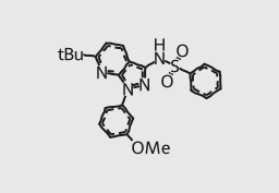 COc1cccc(-n2nc(NS(=O)(=O)c3ccccc3)c3ccc(C(C)(C)C)nc32)c1